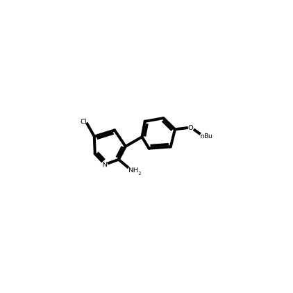 CCCCOc1ccc(-c2cc(Cl)cnc2N)cc1